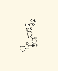 CC(=O)Nc1nc2ccc(-c3cc(NC(=O)OC4CCCCC4)c(F)cn3)cc2s1